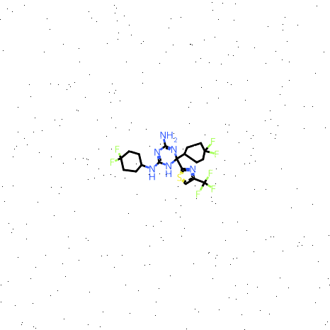 NC1=NC(c2nc(C(F)(F)F)cs2)(C2CCC(F)(F)CC2)NC(NC2CCC(F)(F)CC2)=N1